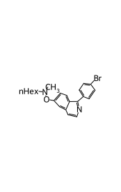 CCCCCCN(C)Oc1ccc2c(-c3ccc(Br)cc3)nccc2c1